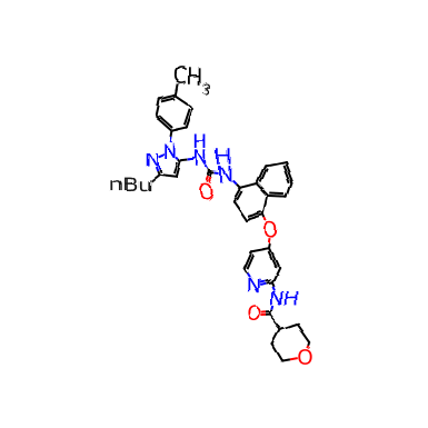 CCCCc1cc(NC(=O)Nc2ccc(Oc3ccnc(NC(=O)C4CCOCC4)c3)c3ccccc23)n(-c2ccc(C)cc2)n1